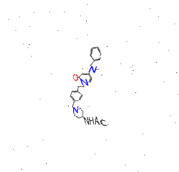 CC(=O)NC1CCN(Cc2ccc(CCn3ccc(N(C)Cc4ccccc4)cc3=O)cc2)CC1